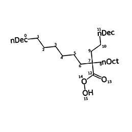 CCCCCCCCCCCCCCCCC(CCCCCCCC)(CCCCCCCCCCCC)C(=O)OO